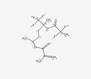 C=C(C)C(=O)OC(C)CCC(C)(OC(=O)C(C)(F)F)C(F)(F)F